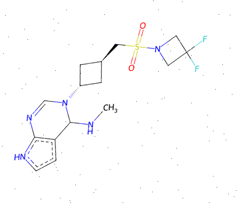 CNC1c2cc[nH]c2N=CN1[C@H]1C[C@H](CS(=O)(=O)N2CC(F)(F)C2)C1